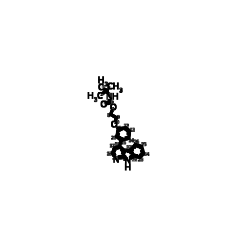 CC(C)(C)NC(=O)OCCOc1cccc(-c2ccnc3[nH]c4ccccc4c23)c1